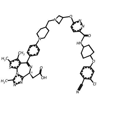 Cc1sc2c(c1C)C(c1ccc(N3CCC(CN4CC(Oc5ccc(C(=O)NC6CCC(Oc7ccc(C#N)c(Cl)c7)CC6)nn5)C4)CC3)cc1)=N[C@@H](CC(=O)O)c1nnc(C)n1-2